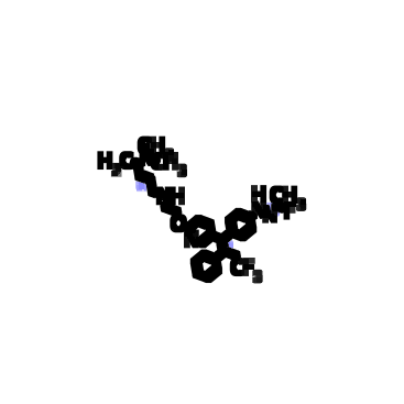 C=C(/C=C/CNCCOc1ccc(/C(=C(/CC(F)(F)F)c2ccccc2)c2ccc(N/N=C(\C)F)cc2)cn1)N(C)C